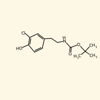 CC(C)(C)OC(=O)NCCc1ccc(O)c(Cl)c1